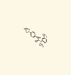 C[C@H](C(=O)Nc1ccc(C2CCNC2)cc1)c1cccc(C(F)(F)F)c1